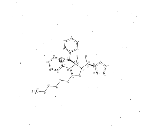 C=C(c1ccccc1)[C@@]12CC[C@@H](n3ccnn3)C1CC(CCCCCC)=C2c1ccccc1